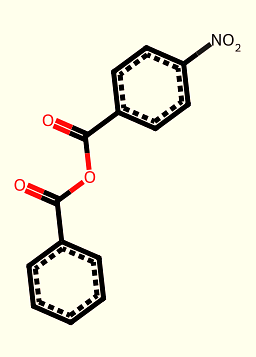 O=C(OC(=O)c1ccc([N+](=O)[O-])cc1)c1ccccc1